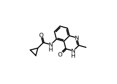 Cc1nc2cccc(NC(=O)C3CC3)c2c(=O)[nH]1